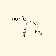 N#CC(/C=N\N)=N\O